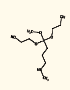 CNCCC[Si](OC)(OCCO)OCCO